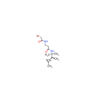 C=C([C@@H]1C=C1C)C(C)(C)NC(=O)CCNC(=O)CBr